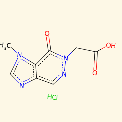 Cl.Cn1cnc2cnn(CC(=O)O)c(=O)c21